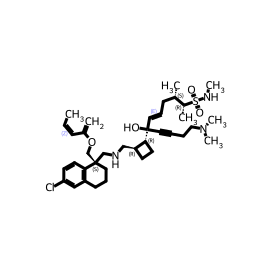 C=C(/C=C\C)OC[C@@]1(CNC[C@@H]2CC[C@H]2C(O)(C#CCCN(C)C)/C=C/C[C@H](C)[C@@H](C)S(=O)(=O)NC)CCCc2cc(Cl)ccc21